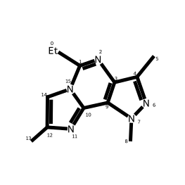 CCc1nc2c(C)nn(C)c2c2nc(C)cn12